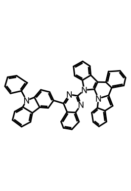 c1ccc(-n2c3ccccc3c3cc(-c4nc(-n5c6ccccc6c6c7ccccc7c7cc8ccccc8n7c65)nc5ccccc45)ccc32)cc1